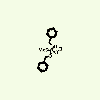 CSP(OCl)(OCc1ccccc1)=[SH]Cc1ccccc1